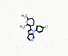 CC1=NC(C)=C(c2cc3ccncc3n2-c2ccc(Cl)cc2)CCC1